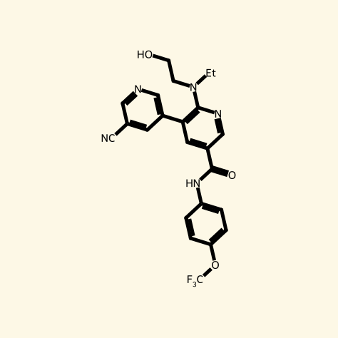 CCN(CCO)c1ncc(C(=O)Nc2ccc(OC(F)(F)F)cc2)cc1-c1cncc(C#N)c1